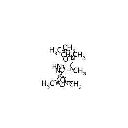 CC[C@]12CC[C@](CC)(C[C@@H](c3n[nH]cc3CN(C)CCN(C)C(=O)OC(C)(C)C)C1)O2